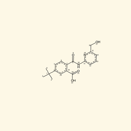 CC(C)(C)c1ccc(C(=O)Nc2cccc(CO)n2)c(C(=O)O)c1